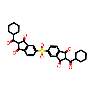 O=C1c2ccc(S(=O)(=O)c3ccc4c(c3)C(=O)C(C(=O)C3CCCCC3)C4=O)cc2C(=O)C1C(=O)C1CCCCC1